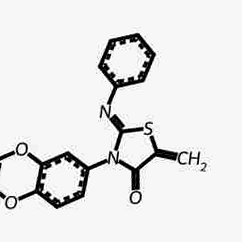 C=C1SC(=Nc2ccccc2)N(c2ccc3c(c2)OC=CO3)C1=O